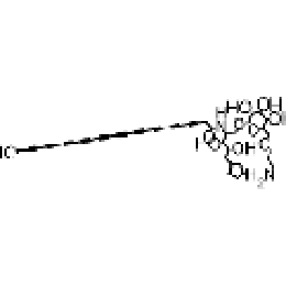 C#CC#CC#CC#CC#CC#CC#CC#CC#CC#CC#CCC(=O)N[C@@H](CO[C@H]1OC(COCCCN)[C@H](O)[C@H](O)C1O)[C@H](O)[C@H](O)CC1CCCC1